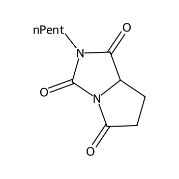 CCCCCN1C(=O)C2CCC(=O)N2C1=O